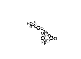 CCOC(Cc1ccc(OCCN(CCCc2cc(Cl)cc(Cl)c2)C(=O)Nc2cccc(C(F)(F)F)c2)cc1)C(=O)O